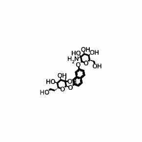 C[C@@]1(O)[C@@H](Oc2ccc3ccc(O[C@H]4O[C@H](CO)[C@@H](O)[C@H](O)[C@]4(N)O)cc3c2)O[C@H](CCO)[C@@H](O)[C@@H]1O